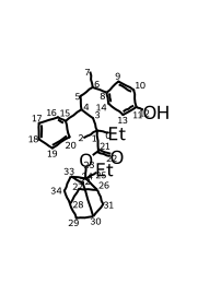 CCC(C)(CC(CC(C)c1ccc(O)cc1)c1ccccc1)C(=O)OC1(CC)C2CC3CC(C2)CC1C3